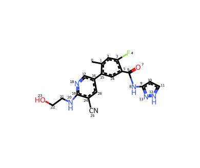 Cc1cc(F)c(C(=O)Nc2cc[nH]n2)cc1-c1cnc(NCCO)c(C#N)c1